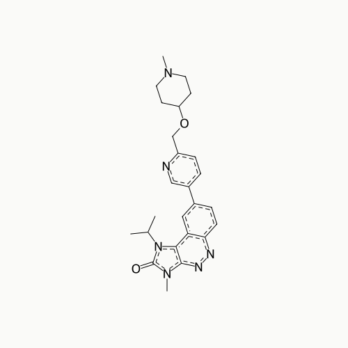 CC(C)n1c(=O)n(C)c2nnc3ccc(-c4ccc(COC5CCN(C)CC5)nc4)cc3c21